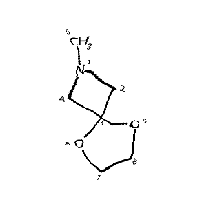 CN1CC2(C1)O[CH]CO2